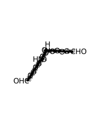 O=CCCCOCCOCCOCCOCCNC(=O)OCCOC(=O)NCCOCCOCCOCCOCCCC=O